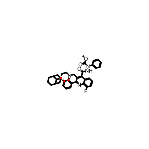 COC(=O)N(NC(=O)c1c(CN2CCN(C3C4CCCC3CCC4)CC2)c(-c2ccccc2)nc2c(F)cccc12)c1ccccc1